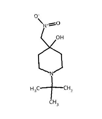 CC(C)(C)N1CCC(O)(C[N+](=O)[O-])CC1